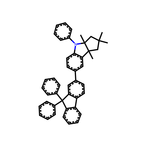 CC1(C)CC2(C)c3cc(-c4ccc5c(c4)C(c4ccccc4)(c4ccccc4)c4ccccc4-5)ccc3N(c3ccccc3)C2(C)C1